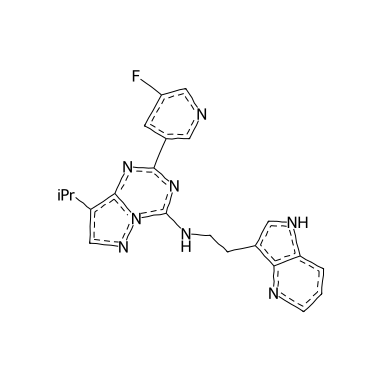 CC(C)c1cnn2c(NCCc3c[nH]c4cccnc34)nc(-c3cncc(F)c3)nc12